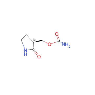 NC(=O)OC[C@@H]1CCNC1=O